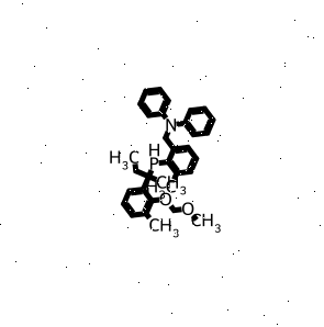 CCC(C)(Pc1c(C)cccc1CN(c1ccccc1)c1ccccc1)c1cccc(C)c1OCOC